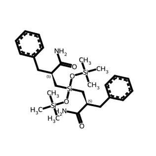 C[Si](C)(C)O[Si](C[C@@H](Cc1ccccc1)C(N)=O)(C[C@@H](Cc1ccccc1)C(N)=O)O[Si](C)(C)C